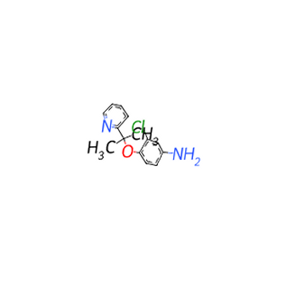 CC(C)(Oc1ccc(N)cc1Cl)c1ccccn1